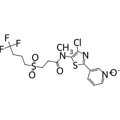 CN(C(=O)CCS(=O)(=O)CCCC(F)(F)F)c1sc(-c2ccc[n+]([O-])c2)nc1Cl